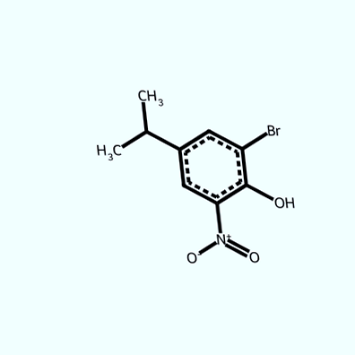 CC(C)c1cc(Br)c(O)c([N+](=O)[O-])c1